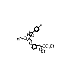 CCCON=C(COc1cccc(CC(OCC)C(=O)OCC)c1)c1nnc(-c2ccc(F)cc2)o1